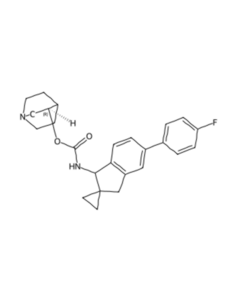 O=C(NC1c2ccc(-c3ccc(F)cc3)cc2CC12CC2)O[C@H]1CN2CCC1CC2